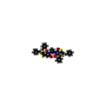 O=C1CC(C(=S)N(SCc2ccccc2)SCc2ccccc2)C(=O)N1c1cccc(N2C(=O)CC(C(=S)N(SCc3ccccc3)SCc3ccccc3)C2=O)c1